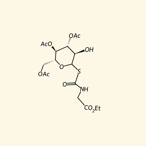 CCOC(=O)CNC(=O)SC1O[C@H](COC(C)=O)[C@@H](OC(C)=O)[C@H](OC(C)=O)[C@H]1O